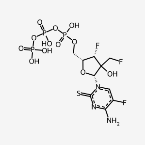 Nc1nc(=S)n([C@@H]2O[C@H](COP(=O)(O)OP(=O)(O)OP(=O)(O)O)[C@H](F)C2(O)CF)cc1F